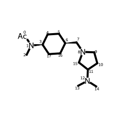 CC(=O)N(C)[C@H]1CC[C@@H](CN2CCC(N(C)C)C2)CC1